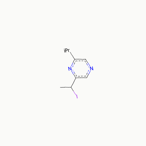 CC(C)c1cncc(C(C)I)n1